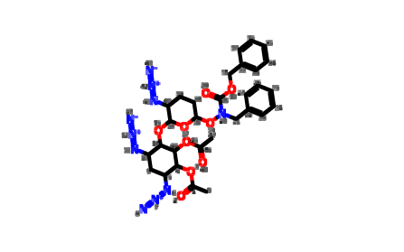 CC(=O)OC1C(N=[N+]=[N-])CC(N=[N+]=[N-])C(OC2OC(ON(Cc3ccccc3)C(=O)OCc3ccccc3)CCC2N=[N+]=[N-])C1OC(C)=O